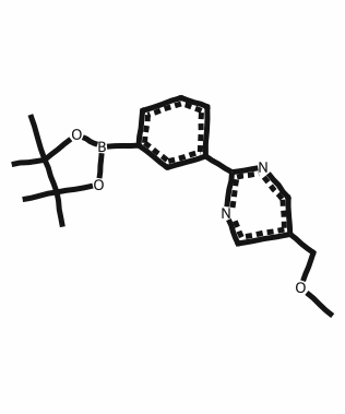 COCc1cnc(-c2cccc(B3OC(C)(C)C(C)(C)O3)c2)nc1